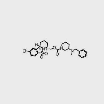 CN(Cc1ccccc1)C1CCCN(C(=O)OC[C@H]2CCC[C@H]3c4cc(Cl)ccc4S(=O)(=O)N23)C1